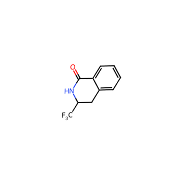 O=C1NC(C(F)(F)F)Cc2ccccc21